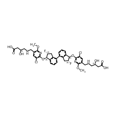 COc1nc(O[C@@H]2c3cccc(-c4cccc5c4C[C@@H](F)[C@@H]5Oc4nc(OC)c(CNC[C@@H](O)CC(=O)O)cc4Cl)c3C[C@H]2F)c(Cl)cc1CNC[C@@H](O)CC(=O)O